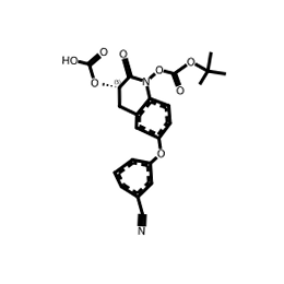 CC(C)(C)OC(=O)ON1C(=O)[C@@H](OC(=O)O)Cc2cc(Oc3cccc(C#N)c3)ccc21